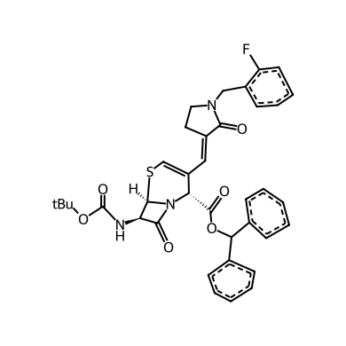 CC(C)(C)OC(=O)N[C@@H]1C(=O)N2[C@@H](C(=O)OC(c3ccccc3)c3ccccc3)C(/C=C3\CCN(Cc4ccccc4F)C3=O)=CS[C@H]12